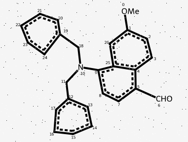 COc1ccc2c(C=O)ccc(N(Cc3ccccc3)Cc3ccccc3)c2c1